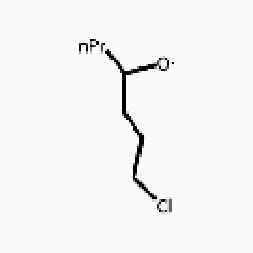 CCCC([O])CCCCl